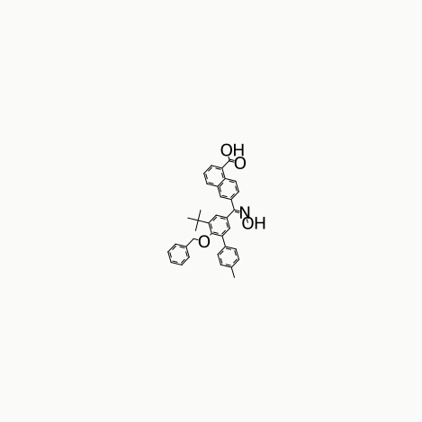 Cc1ccc(-c2cc(C(=NO)c3ccc4c(C(=O)O)cccc4c3)cc(C(C)(C)C)c2OCc2ccccc2)cc1